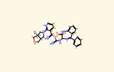 N=C(NC1N=C(c2ccccc2)c2ccccc2NC1=O)OC(=N)c1cccnc1N1CC2COC[C@@H]2C1